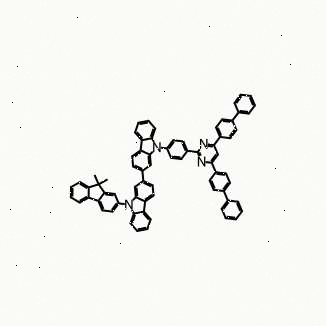 CC1(C)c2ccccc2-c2ccc(-n3c4ccccc4c4ccc(-c5ccc6c7ccccc7n(-c7ccc(-c8nc(-c9ccc(-c%10ccccc%10)cc9)cc(-c9ccc(-c%10ccccc%10)cc9)n8)cc7)c6c5)cc43)cc21